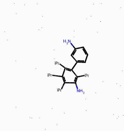 CC(C)c1c(N)c(C(C)C)c(C(C)C)c(C(C)C)c1-c1cccc(N)c1